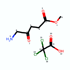 COC(=O)CCC(=O)CN.O=C(O)C(Cl)(Cl)Cl